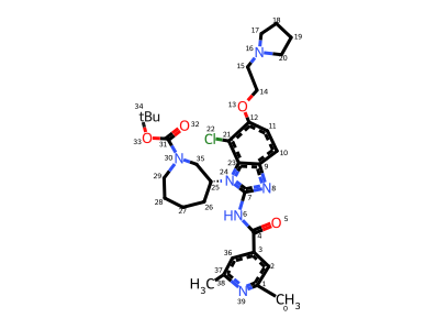 Cc1cc(C(=O)Nc2nc3ccc(OCCN4CCCC4)c(Cl)c3n2[C@@H]2CCCCN(C(=O)OC(C)(C)C)C2)cc(C)n1